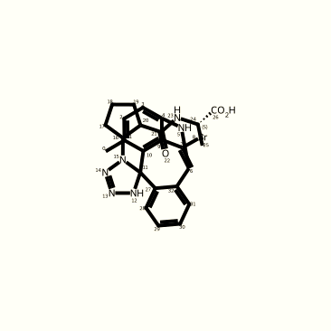 Cc1ccc2[nH]c3c(Br)c2c1C1(NN=NN1C1CCCC1C(=O)N[C@@H](C)C(=O)O)c1ccccc1-3